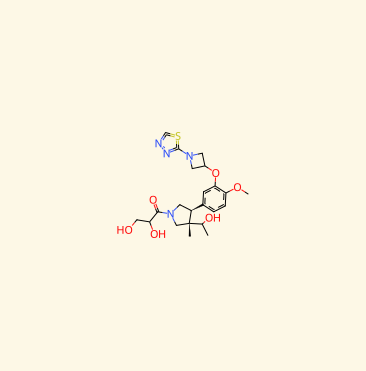 COc1ccc([C@@H]2CN(C(=O)C(O)CO)C[C@@]2(C)C(C)O)cc1OC1CN(c2nncs2)C1